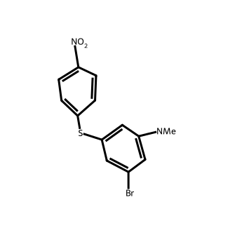 CNc1cc(Br)cc(Sc2ccc([N+](=O)[O-])cc2)c1